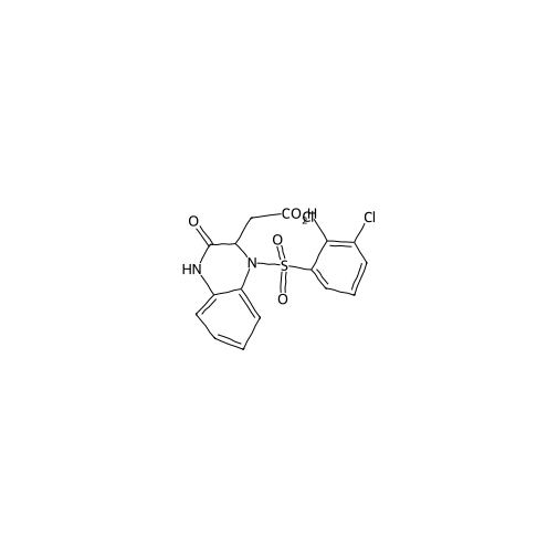 O=C(O)CC1C(=O)Nc2ccccc2N1S(=O)(=O)c1cccc(Cl)c1Cl